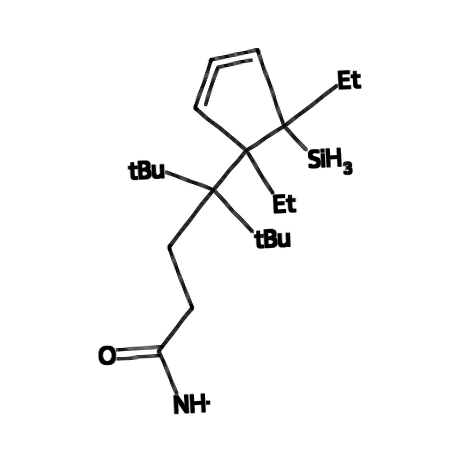 CCC1([SiH3])C=C=CC1(CC)C(CCC([NH])=O)(C(C)(C)C)C(C)(C)C